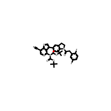 CC(C)(C)OC(=O)N(C(=O)OC(C)(C)C)c1ncc(C#N)c2occ(-c3ccc4c(c3)CCN4C(=O)Cc3cc(F)ccc3F)c12